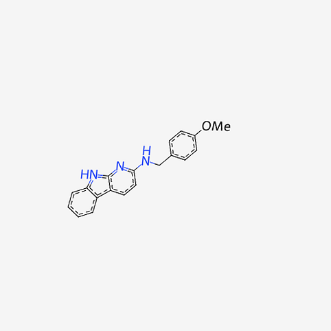 COc1ccc(CNc2ccc3c(n2)[nH]c2ccccc23)cc1